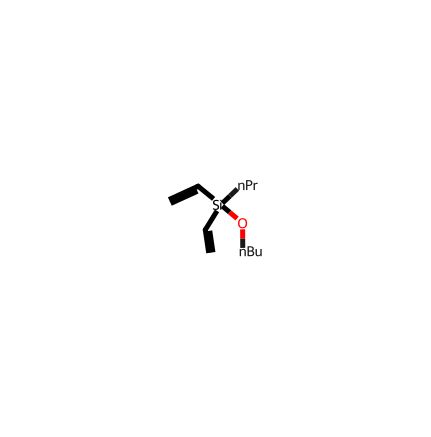 C=C[Si](C=C)(CCC)OCCCC